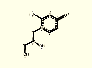 Nc1nc(=O)ccn1C[C@@H](O)CO